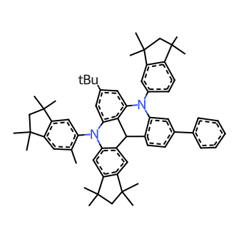 Cc1cc2c(cc1N1c3cc4c(cc3C3c5ccc(-c6ccccc6)cc5N(c5ccc6c(c5)C(C)(C)CC6(C)C)c5cc(C(C)(C)C)cc1c53)C(C)(C)CC4(C)C)C(C)(C)CC2(C)C